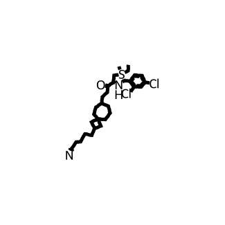 CCS1(C)CC(C(=O)CCC2CCCC3(CC2)CC(CCCCC#N)C3)NC1c1ccc(Cl)cc1Cl